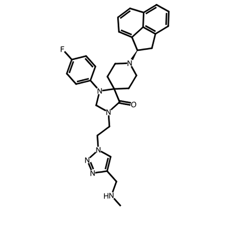 CNCc1cn(CCN2CN(c3ccc(F)cc3)C3(CCN([C@@H]4Cc5cccc6cccc4c56)CC3)C2=O)nn1